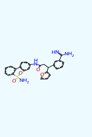 N=C(N)c1cccc(C(CC(=O)Nc2ccc(-c3ccccc3S(N)(=O)=O)cc2)c2ccco2)c1